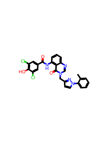 Cc1ccccc1-n1ccc(Cn2cnc3cccc(NC(=O)c4cc(Cl)c(O)c(Cl)c4)c3c2=O)n1